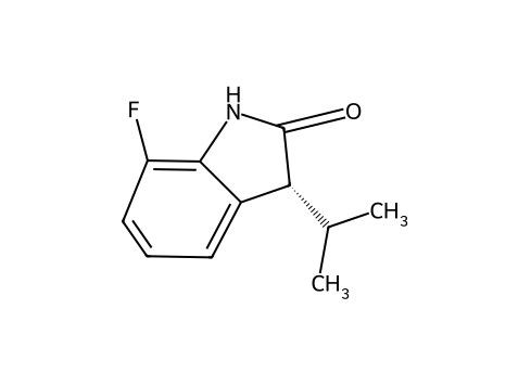 CC(C)[C@H]1C(=O)Nc2c(F)cccc21